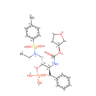 CC(C)CN(C[C@@H](OP(=O)(O)O)[C@H](Cc1ccccc1)NC(=O)O[C@H]1CCOC1)S(=O)(=O)c1ccc(N=O)cc1